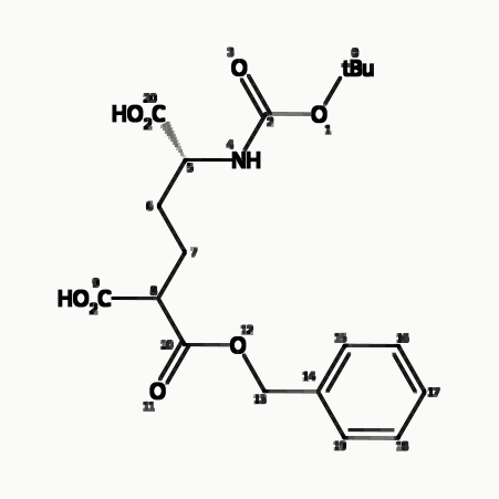 CC(C)(C)OC(=O)N[C@H](CCC(C(=O)O)C(=O)OCc1ccccc1)C(=O)O